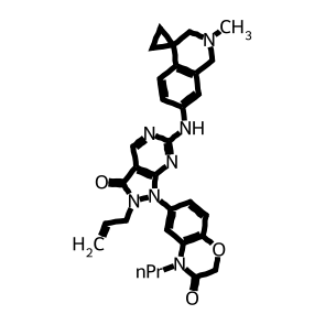 C=CCn1c(=O)c2cnc(Nc3ccc4c(c3)CN(C)CC43CC3)nc2n1-c1ccc2c(c1)N(CCC)C(=O)CO2